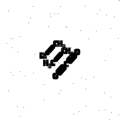 CC.CCC.O=C=O